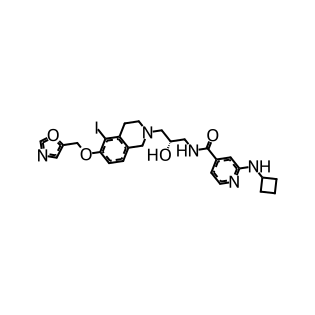 O=C(NC[C@H](O)CN1CCc2c(ccc(OCc3cnco3)c2I)C1)c1ccnc(NC2CCC2)c1